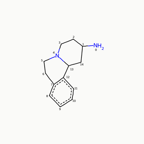 NC1CCN2CCc3ccccc3C2C1